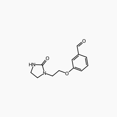 O=Cc1cccc(OCCN2CCNC2=O)c1